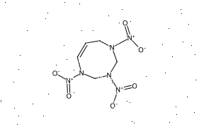 O=[N+]([O-])N1C=CCN([N+](=O)[O-])CN([N+](=O)[O-])C1